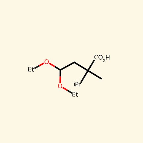 CCOC(CC(C)(C(=O)O)C(C)C)OCC